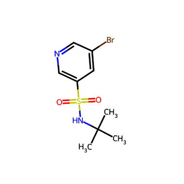 CC(C)(C)NS(=O)(=O)c1cncc(Br)c1